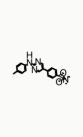 Cc1ccc(Nc2ncc(-c3ccc(S(=O)(=O)N(C)C)cc3)cn2)cc1